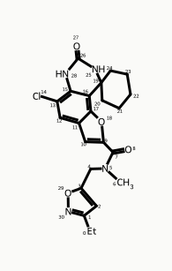 CCc1cc(CN(C)C(=O)c2cc3cc(Cl)c4c(c3o2)C2(CCCCC2)NC(=O)N4)on1